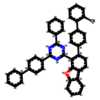 N#Cc1ccccc1-c1ccc(-c2ccc3c(oc4ccccc43)c2-c2nc(-c3ccccc3)nc(-c3ccc(-c4ccccc4)cc3)n2)cc1